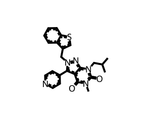 CC(C)Cn1c(=O)n(C)c(=O)c2c(-c3ccncc3)n(Cc3csc4ccccc34)nc21